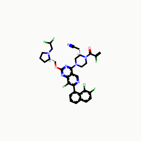 C=C(F)C(=O)N1CCN(c2nc(OC[C@@H]3CCCN3CC(F)F)nc3c(F)c(-c4cccc5ccc(F)c(Cl)c45)ncc23)C[C@@H]1CC#N